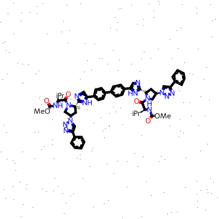 COC(=O)N[C@H](C(=O)N1CC(n2cc(-c3ccccc3)nn2)C[C@H]1c1ncc(-c2ccc(-c3ccc(-c4cnc([C@@H]5C[C@@H](n6cc(-c7ccccc7)nn6)CN5C(=O)[C@@H](NC(=O)OC)C(C)C)[nH]4)cc3)cc2)[nH]1)C(C)C